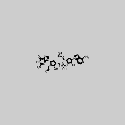 Nc1nc2c(ncn2[C@@H]2C[C@H](COP(=O)(O)O[C@@H]3[C@@H](COPO)C[C@@H](n4cnc5c(N)ncnc54)[C@@H]3O)[C@@H](O)[C@H]2CC=O)c(=O)[nH]1